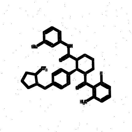 Cc1cccc(F)c1C(=O)N1CCCC(C(=O)Nc2cccc(C(C)(C)C)c2)[C@@H]1c1ccc(CN2CCCC2C(F)(F)F)cc1